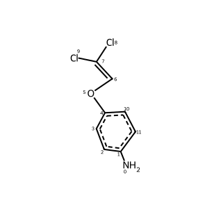 Nc1ccc(OC=C(Cl)Cl)cc1